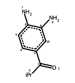 CC(C)C(=O)c1ccc(N)c(N)c1